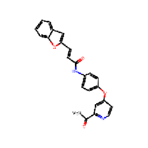 CNC(=O)c1cc(Oc2ccc(NC(=O)C=Cc3cc4ccccc4o3)cc2)ccn1